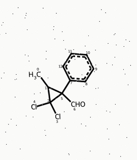 CC1C(Cl)(Cl)C1(C=O)c1ccccc1